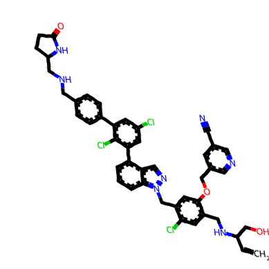 C=CC(CO)NCc1cc(Cl)c(Cn2ncc3c(-c4cc(Cl)cc(-c5ccc(CNCC6CCC(=O)N6)cc5)c4Cl)cccc32)cc1OCc1cncc(C#N)c1